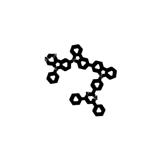 c1ccc(-c2cc(-c3ccccc3)nc(-c3ccc(-n4c5ccccc5c5ccc(-c6ccc7c(c6)c6ccccc6n7-c6ccc7c(c6)c6ncncc6n7-c6ccccc6)cc54)cc3)n2)cc1